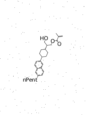 C=C(C)C(=O)OCC(CO)C1CCC(c2ccc3cc(CCCCC)ccc3c2)CC1